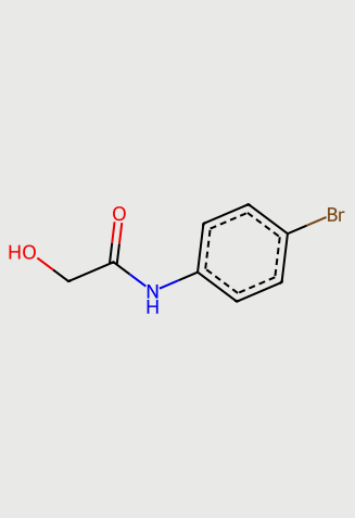 O=C(CO)Nc1ccc(Br)cc1